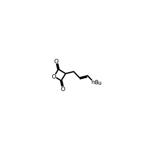 CCCC/C=C/CC1C(=O)OC1=O